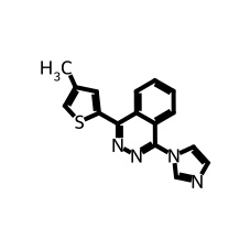 Cc1csc(-c2nnc(-n3ccnc3)c3ccccc23)c1